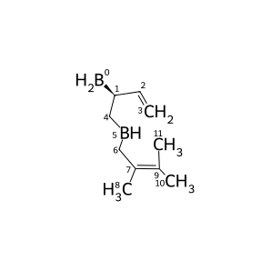 B[C@@H](C=C)CBCC(C)=C(C)C